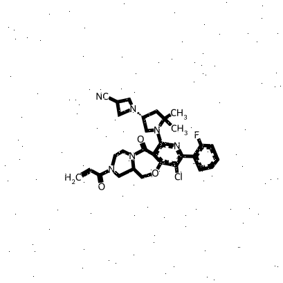 C=CC(=O)N1CCN2C(=O)c3c(N4C[C@H](N5CC(C#N)C5)CC4(C)C)nc(-c4ccccc4F)c(Cl)c3OCC2C1